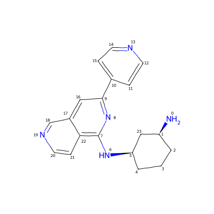 N[C@H]1CCC[C@@H](Nc2nc(-c3ccncc3)cc3cnccc23)C1